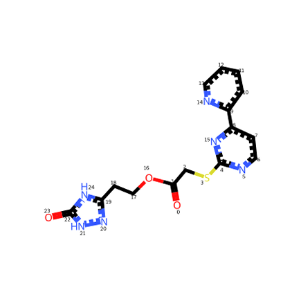 O=C(CSc1nccc(-c2ccccn2)n1)OCCc1n[nH]c(=O)[nH]1